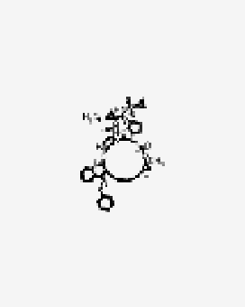 C=C[C@@H]1C[C@]1(NC(=O)[C@@H]1C[C@@H]2CN1C(=O)[C@H](C1CCCC1)NC(=O)O[C@]1(C)C[C@H]1CCC=CCc1c(nc3ccccc3c1OCc1ccccc1)O2)C(=O)NS(=O)(=O)C1CC1